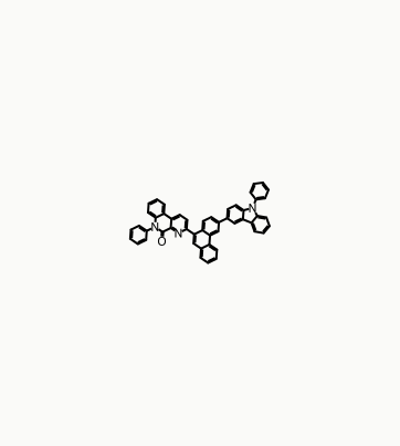 O=c1c2nc(-c3cc4ccccc4c4cc(-c5ccc6c(c5)c5ccccc5n6-c5ccccc5)ccc34)ccc2c2ccccc2n1-c1ccccc1